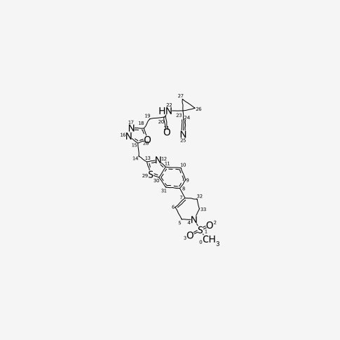 CS(=O)(=O)N1CC=C(c2ccc3nc(Cc4nnc(CC(=O)NC5(C#N)CC5)o4)sc3c2)CC1